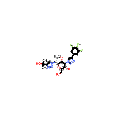 CO[C@@H]1[C@@H](n2cc(-c3cc(F)c(F)c(F)c3)nn2)[C@@H](O)[C@@H](CO)O[C@@H]1Cn1cc(C(C)(C)O)nn1